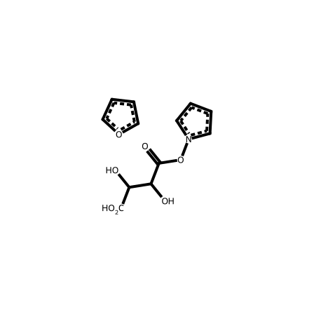 O=C(O)C(O)C(O)C(=O)On1cccc1.c1ccoc1